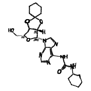 O=C(Nc1ncnc2c1ncn2[C@@H]1O[C@H](CO)C2OC3(CCCCC3)O[C@@H]21)NC1CCCCC1